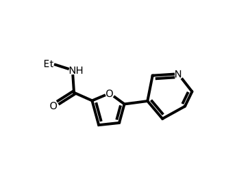 CCNC(=O)c1ccc(-c2cccnc2)o1